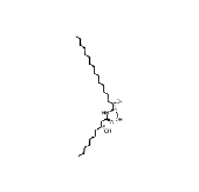 CCCCCCCCCCCCCCC[C@@H](O)[C@H](CO)NC(=O)C[C@H](O)CCCCCCC